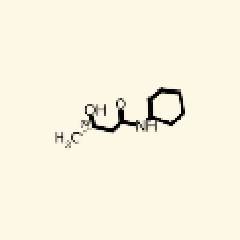 C[C@H](O)CC(=O)NC1CCCCC1